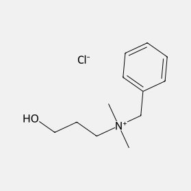 C[N+](C)(CCCO)Cc1ccccc1.[Cl-]